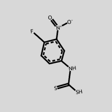 O=[N+]([O-])c1cc(NC(=S)S)ccc1F